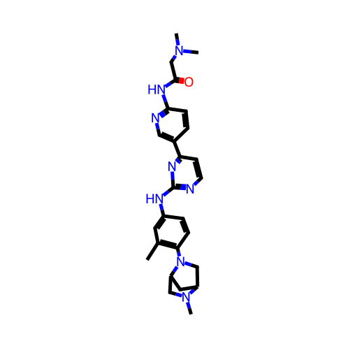 Cc1cc(Nc2nccc(-c3ccc(NC(=O)CN(C)C)nc3)n2)ccc1N1CC2CC1CN2C